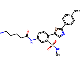 CNc1ccc(-c2ncc(-c3ccc(NC(=O)CCCCN)cc3S(=O)(=O)NC(C)(C)C)s2)cc1